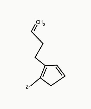 C=CCCC1=[C]([Zr])CC=C1